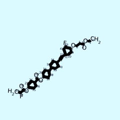 C=COC(=O)CCOc1ccc(C#Cc2ccc(-c3ccc(OC(=O)c4ccc(OC(=O)C(=C)F)cc4)cc3)cc2)cc1F